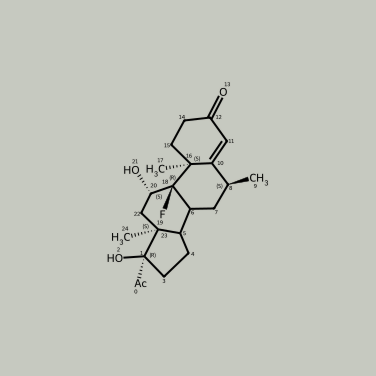 CC(=O)[C@@]1(O)CCC2C3C[C@H](C)C4=CC(=O)CC[C@]4(C)[C@@]3(F)[C@@H](O)C[C@@]21C